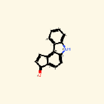 O=C1C=Cc2c1ccc1[nH]c3ccccc3c21